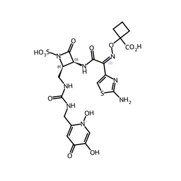 Nc1nc(/C(=N/OC2(C(=O)O)CCC2)C(=O)N[C@@H]2C(=O)N(S(=O)(=O)O)[C@@H]2CNC(=O)NCc2cc(=O)c(O)cn2O)cs1